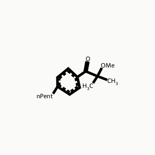 CCCCCc1ccc(C(=O)C(C)(C)OC)cc1